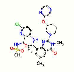 Cc1cc([C@@H](C)Nc2ccc(Cl)nc2C(=O)NS(C)(=O)=O)c2nc(N3CCC[C@@H](Oc4cnccn4)C3)n(C)c(=O)c2c1